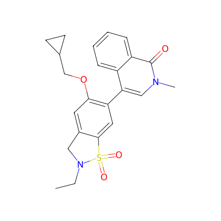 CCN1Cc2cc(OCC3CC3)c(-c3cn(C)c(=O)c4ccccc34)cc2S1(=O)=O